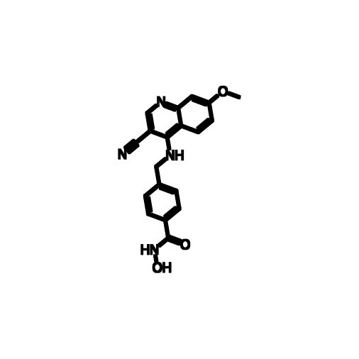 COc1ccc2c(NCc3ccc(C(=O)NO)cc3)c(C#N)cnc2c1